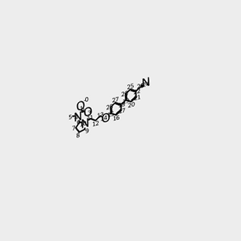 COC(=O)N(C)C1CCCN1CCCOc1ccc(-c2ccc(C#N)cc2)cc1